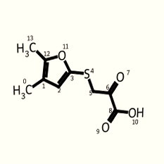 Cc1cc(SCC(=O)C(=O)O)oc1C